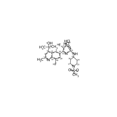 Cc1cc(C(C)(C)O)c2cc(-c3nc(NC4CCN(S(C)(=O)=O)CC4)ncc3F)cc(F)c2n1.Cl.Cl